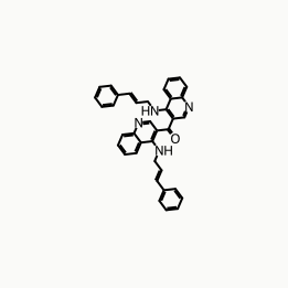 O=C(c1cnc2ccccc2c1NCC=Cc1ccccc1)c1cnc2ccccc2c1NCC=Cc1ccccc1